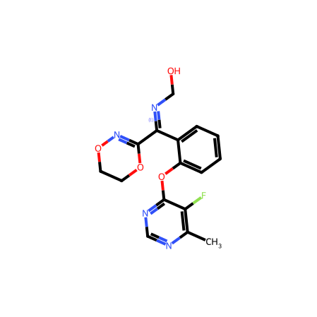 Cc1ncnc(Oc2ccccc2/C(=N\CO)C2=NOCCO2)c1F